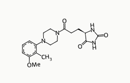 COc1cccc(N2CCN(C(=O)CC[C@H]3NC(=O)NC3=O)CC2)c1C